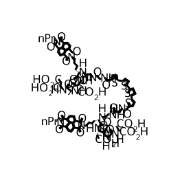 CCCN1C(=O)c2ccc3c4c(ccc(c24)C1=O)C(=O)N(CCCC[C@H](NC(=O)CNC(=O)CNC(=O)c1ccc(-c2ccc(-c4ccc(-c5ccc(C(=O)NCC(=O)NCC(=O)N[C@@H](CCCCN6C(=O)c7ccc8c9c(ccc(c79)C6=O)C(=O)N(CCC)C8=O)C(=O)N[C@@H](CC(=O)O)C(=O)N[C@@H](C)C(=O)N[C@@H](CC(=O)O)C(=O)O)s5)s4)s2)s1)C(=O)N[C@@H](CC(=O)O)C(=O)N[C@@H](C)C(=O)N[C@@H](CC(=O)O)C(=O)O)C3=O